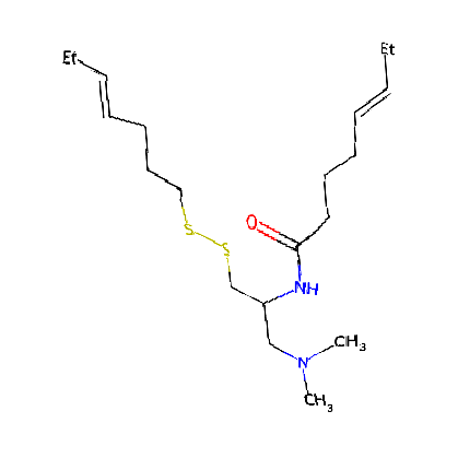 CC/C=C/CCCSSCC(CN(C)C)NC(=O)CCC/C=C/CC